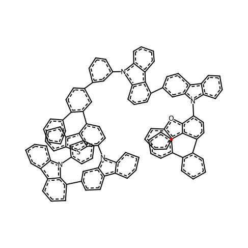 c1ccc(-c2ccccc2-c2ccc(-n3c4ccccc4c4ccc(-c5cccc6c5c5ccccc5n6-c5cccc(-c6ccc(-c7ccccc7)c(-c7ccc(-n8c9ccccc9c9ccc(-c%10cccc%11c%12ccccc%12n(-c%12ccccc%12)c%10%11)cc98)c8sc9ccccc9c78)c6)c5)cc43)c3oc4ccccc4c23)cc1